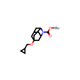 CC(C)(C)OC(=O)N1C2CC3CC1CC(OCC1CC1)(C3)C2